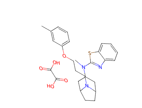 Cc1cccc(OCCCN2C3CCC2CC(N(C)c2nc4ccccc4s2)C3)c1.O=C(O)C(=O)O